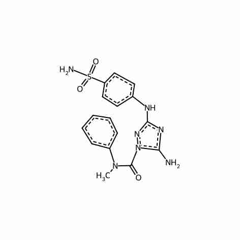 CN(C(=O)n1nc(Nc2ccc(S(N)(=O)=O)cc2)nc1N)c1ccccc1